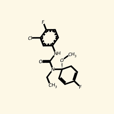 CCN(C(=O)Nc1ccc(F)c(Cl)c1)[C@]1(OC)C=CC(F)=CC1